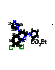 CCOC(=O)[C@@H]1CCCN1c1cc(-n2ccnc2)c2ccc(Cl)c(Cl)c2n1